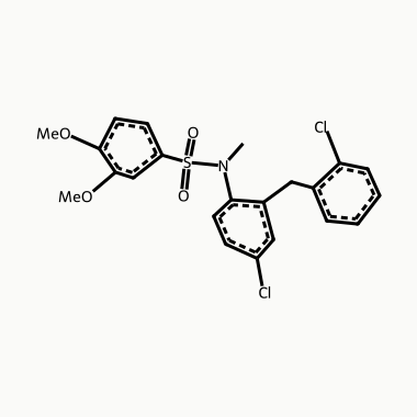 COc1ccc(S(=O)(=O)N(C)c2ccc(Cl)cc2Cc2ccccc2Cl)cc1OC